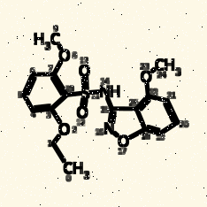 CCOc1cccc(OC)c1S(=O)(=O)Nc1noc2cccc(OC)c12